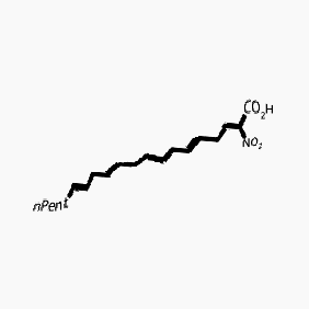 CCCCCC=CCC=CCC=CCC=CCCC(C(=O)O)[N+](=O)[O-]